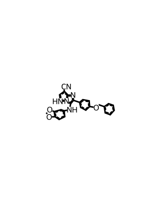 N#Cc1c[nH]n2c(Nc3ccc4c(c3)OCO4)c(-c3ccc(OCc4ccccc4)cc3)nc12